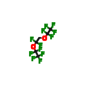 FC(F)(COC(F)(F)C(F)(F)F)OC(F)(F)C(F)(F)F